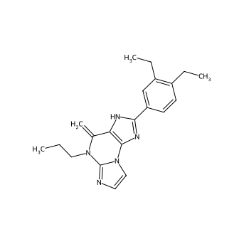 C=C1c2[nH]c(-c3ccc(CC)c(CC)c3)nc2-n2ccnc2N1CCC